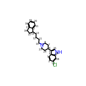 Clc1ccc2c(C3CCN(CCCCC4CCc5ccccc54)CC3)c[nH]c2c1